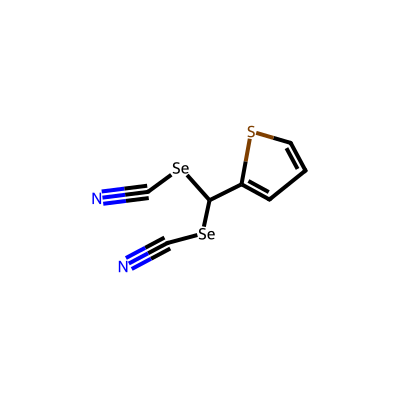 N#C[Se]C([Se]C#N)c1cccs1